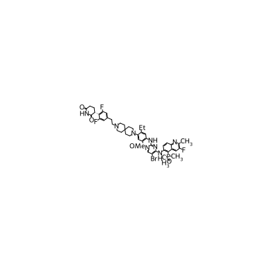 CCc1cc(Nc2ncc(Br)c(Nc3ccc4nc(C)c(F)cc4c3P(C)(C)=O)n2)c(OC)cc1N1CCC2(CCN(CCc3cc(F)c([C@H]4CCC(=O)NC4=O)c(F)c3)CC2)CC1